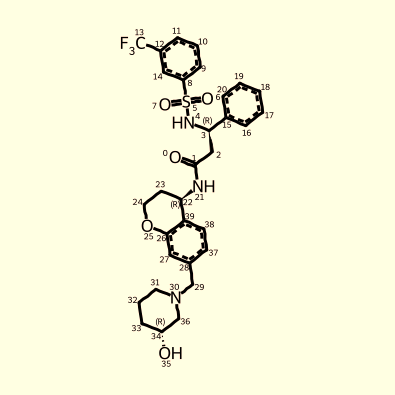 O=C(C[C@@H](NS(=O)(=O)c1cccc(C(F)(F)F)c1)c1ccccc1)N[C@@H]1CCOc2cc(CN3CCC[C@@H](O)C3)ccc21